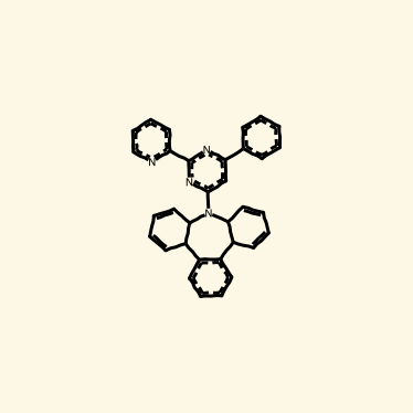 C1=CC2c3ccccc3C3C=CC=CC3N(c3cc(-c4ccccc4)nc(-c4ccccn4)n3)C2C=C1